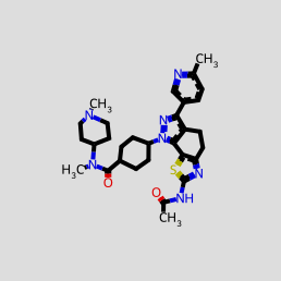 CC(=O)Nc1nc2c(s1)-c1c(c(-c3ccc(C)nc3)nn1C1CCC(C(=O)N(C)C3CCN(C)CC3)CC1)CC2